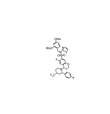 COc1ccc(CN(c2nccs2)S(=O)(=O)c2cc3c(cc2F)C(N2CCC(C(F)(F)F)CC2c2ccc(F)cc2)CCO3)c(OC)c1